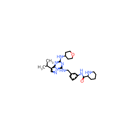 CC(C)c1cnn2c(NCc3cccc(NC(=O)C4CCCCN4)c3)nc(NC3CCOCC3)nc12